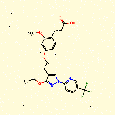 CCOc1nn(-c2ccc(C(F)(F)F)cn2)cc1CCOc1ccc(CCC(=O)O)c(OC)c1